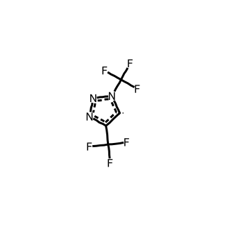 FC(F)(F)c1[c]n(C(F)(F)F)nn1